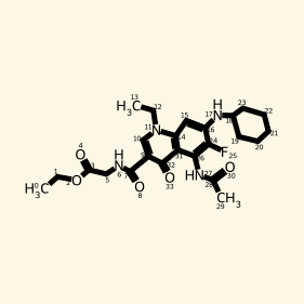 CCOC(=O)CNC(=O)c1cn(CC)c2cc(NC3CCCCC3)c(F)c(NC(C)=O)c2c1=O